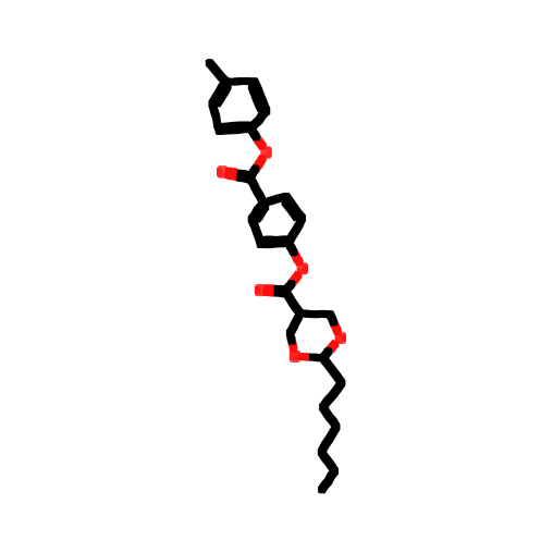 CCCCCCC1OCC(C(=O)Oc2ccc(C(=O)Oc3ccc(C)cc3)cc2)CO1